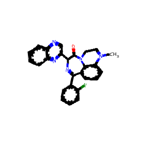 CN1CCN2C(=O)C(c3cnc4ccccc4n3)N=C(c3ccccc3F)c3cccc1c32